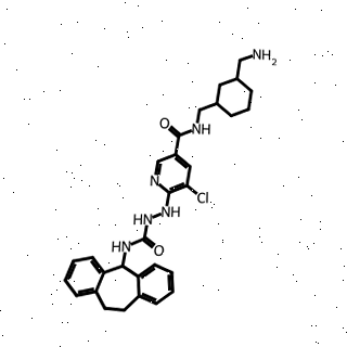 NCC1CCCC(CNC(=O)c2cnc(NNC(=O)NC3c4ccccc4CCc4ccccc43)c(Cl)c2)C1